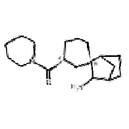 NC1C2CCC(C2)[C@]12CCC[C@H](C(=O)N1CCCCC1)C2